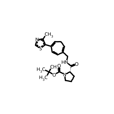 Cc1ncsc1C1=CCC=C(CNC(=O)[C@@H]2CCCN2C(=O)OC(C)(C)C)C=C1